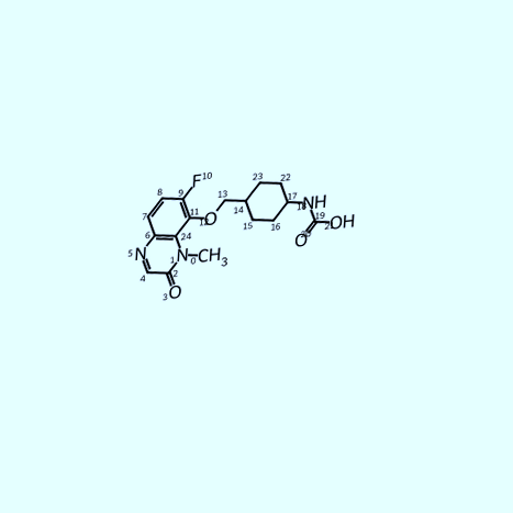 Cn1c(=O)cnc2ccc(F)c(OCC3CCC(NC(=O)O)CC3)c21